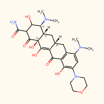 CN(C)c1cc(N2CCOCC2)c(O)c2c1C[C@H]1C[C@H]3[C@H](N(C)C)C(O)C(C(N)=O)C(=O)[C@@]3(O)C(O)=C1C2=O